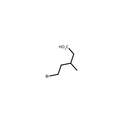 CC(CCBr)CC(=O)O